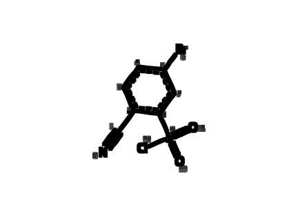 N#Cc1ccc(Br)cc1S(=O)(=O)Cl